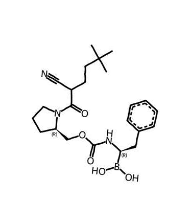 CC(C)(C)CCC(C#N)C(=O)N1CCC[C@@H]1COC(=O)N[C@@H](Cc1ccccc1)B(O)O